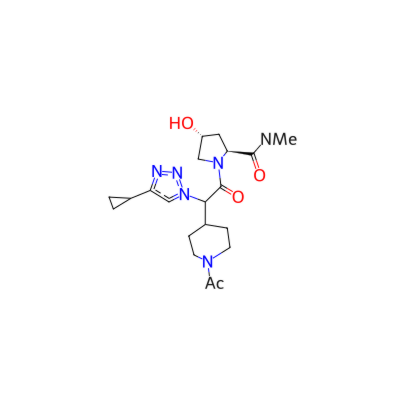 CNC(=O)[C@@H]1C[C@@H](O)CN1C(=O)C(C1CCN(C(C)=O)CC1)n1cc(C2CC2)nn1